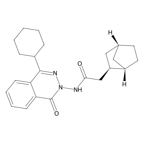 O=C(C[C@H]1C[C@@H]2CC[C@H]1C2)Nn1nc(C2CCCCC2)c2ccccc2c1=O